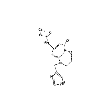 COC(=O)Nc1cc(Cl)c2c(c1)N(Cc1c[nH]cn1)CCO2